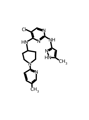 Cc1ccc(N2CCC(Nc3nc(Nc4cc(C)[nH]n4)ncc3Cl)CC2)nc1